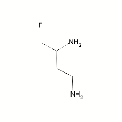 NCCC(N)CF